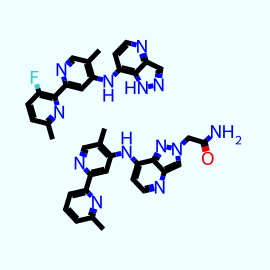 Cc1ccc(F)c(-c2cc(Nc3ccnc4cn[nH]c34)c(C)cn2)n1.Cc1cccc(-c2cc(Nc3ccnc4cn(CC(N)=O)nc34)c(C)cn2)n1